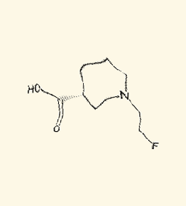 O=C(O)[C@@H]1CCCN(CCF)C1